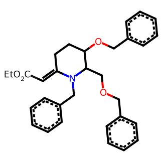 CCOC(=O)/C=C1\CCC(OCc2ccccc2)C(COCc2ccccc2)N1Cc1ccccc1